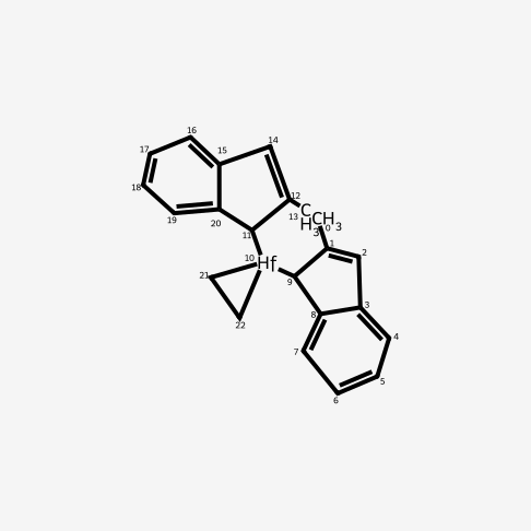 CC1=Cc2ccccc2[CH]1[Hf]1([CH]2C(C)=Cc3ccccc32)[CH2][CH2]1